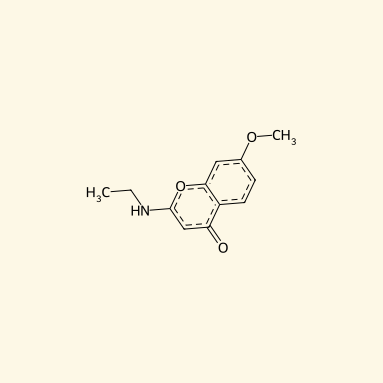 CCNc1cc(=O)c2ccc(OC)cc2o1